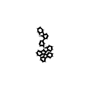 c1cc(-c2cccc3c2oc2ccccc23)cc(-n2c3c(c4ccccc42)C2(c4ccccc4-c4ccccc42)c2ccccc2-3)c1